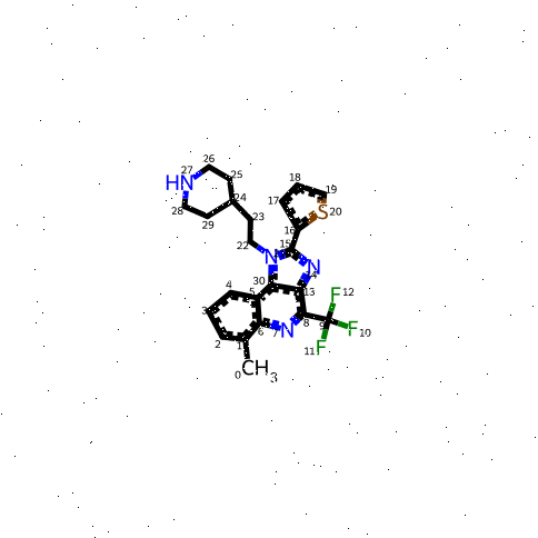 Cc1cccc2c1nc(C(F)(F)F)c1nc(-c3cccs3)n(CCC3CCNCC3)c12